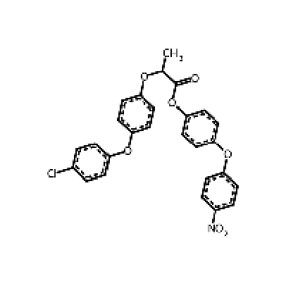 CC(Oc1ccc(Oc2ccc(Cl)cc2)cc1)C(=O)Oc1ccc(Oc2ccc([N+](=O)[O-])cc2)cc1